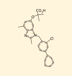 Cc1cc(OC(C)(C)C(=O)O)cc2c1nc(C)n2Cc1ccc(-c2ccccc2)cc1Cl